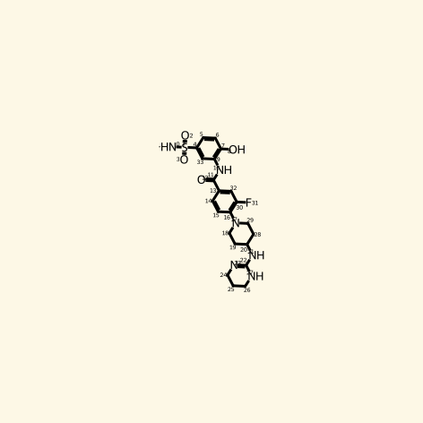 [NH]S(=O)(=O)c1ccc(O)c(NC(=O)c2ccc(N3CCC(NC4=NCCCN4)CC3)c(F)c2)c1